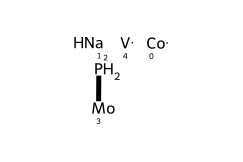 [Co].[NaH].[PH2][Mo].[V]